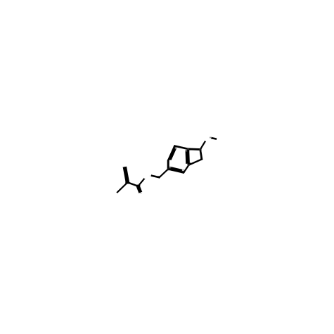 C=C(C)C(=O)OCc1ccc2c(c1)CC2OC